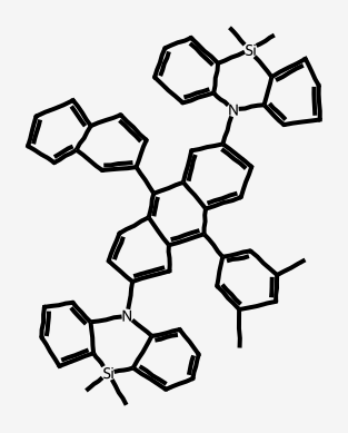 Cc1cc(C)cc(-c2c3ccc(N4c5ccccc5[Si](C)(C)c5ccccc54)cc3c(-c3ccc4ccccc4c3)c3ccc(N4c5ccccc5[Si](C)(C)c5ccccc54)cc23)c1